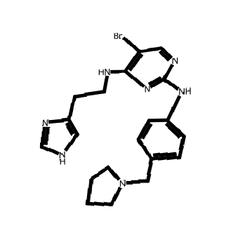 Brc1cnc(Nc2ccc(CN3CCCC3)cc2)nc1NCCc1c[nH]cn1